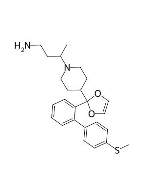 CSc1ccc(-c2ccccc2C2(C3CCN(C(C)CCN)CC3)OC=CO2)cc1